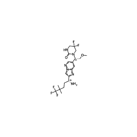 COC[C@H](c1cnn2cc([C@H](N)CCC(C)(C)C(F)(F)F)nc2c1)N1CC(F)(F)CNC1=O